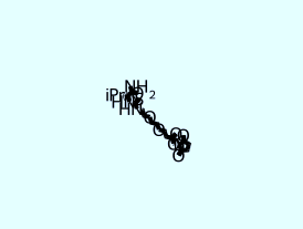 CC(C)[C@H](NC(=S)NCCOCCOCCC(=O)ON1C(=O)CCC1=O)C(N)=O